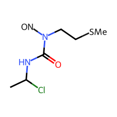 CSCCN(N=O)C(=O)NC(C)Cl